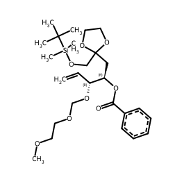 C=C[C@@H](OCOCCOC)[C@@H](CC1(CO[Si](C)(C)C(C)(C)C)OCCO1)OC(=O)c1ccccc1